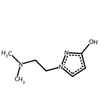 CN(C)CCn1ccc(O)n1